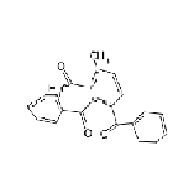 CC(=O)c1c(C)ccc(C(=O)c2ccccc2)c1C(=O)c1ccccc1